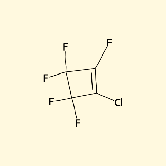 FC1=C(Cl)C(F)(F)C1(F)F